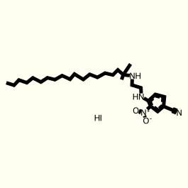 CCCCCCCCCCCCCCCCCC(C)(C)NCCNc1ccc(C#N)cc1[N+](=O)[O-].I